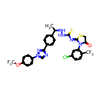 CC(NNC(=S)/N=C1\SCC(=O)N1c1cc(Cl)ccc1C(F)(F)F)c1ccc(-c2ncn(-c3ccc(OC(F)(F)F)cc3)n2)cc1